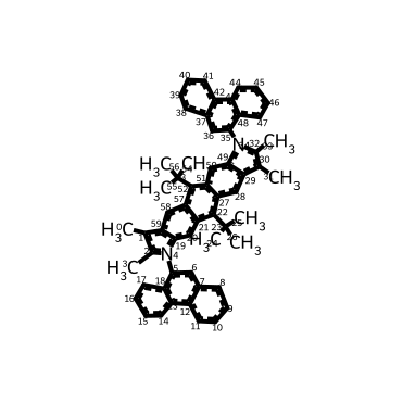 Cc1c(C)n(-c2cc3ccccc3c3ccccc23)c2cc3c(C(C)(C)C)c4cc5c(C)c(C)n(-c6cc7ccccc7c7ccccc67)c5cc4c(C(C)(C)C)c3cc12